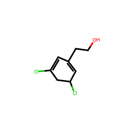 OCCC1=CC(Cl)[CH]C(Cl)=C1